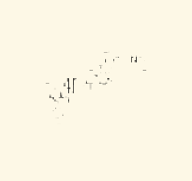 COc1cc2c(Oc3ccc(NC(=O)c4c5c(cn(-c6ccc(F)cc6)c4=O)CCO5)cc3F)ccnc2cc1OCCN1CCC(OC)C1